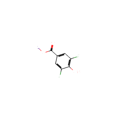 O=C(OI)c1cc(F)c(O)c(F)c1